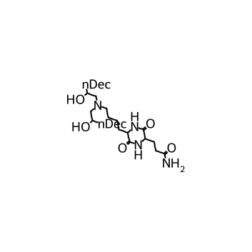 CCCCCCCCCCC(O)CN(CCCCC1NC(=O)C(CCC(N)=O)NC1=O)CC(O)CCCCCCCCCC